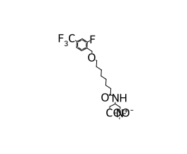 C[N+](C)(C)CC(CC(=O)[O-])NC(=O)CCCCCCCOCc1ccc(C(F)(F)F)cc1F